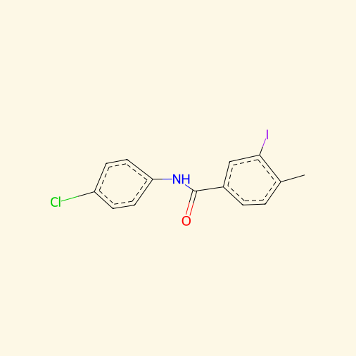 Cc1ccc(C(=O)Nc2ccc(Cl)cc2)cc1I